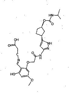 COc1cc(O)c(/C=N/CCC(=O)O)c(OCC(=O)Nc2cc([C@H]3CC[C@@H](OC(=O)NC(C)C)C3)[nH]n2)c1